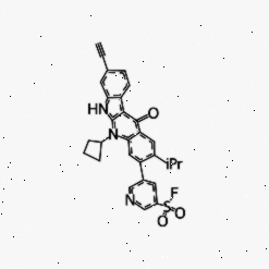 C#Cc1ccc2c(c1)[nH]c1c2c(=O)c2cc(C(C)C)c(-c3cncc(S(=O)(=O)F)c3)cc2n1C1CCC1